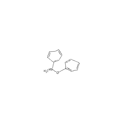 C[SiH](Oc1ccccc1)c1ccccc1